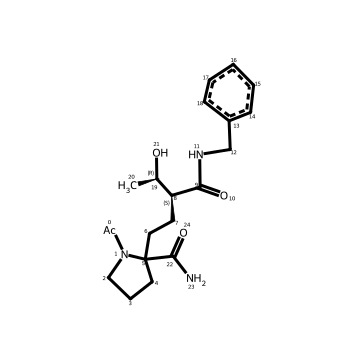 CC(=O)N1CCCC1(CC[C@H](C(=O)NCc1ccccc1)[C@@H](C)O)C(N)=O